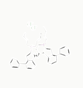 CCCCP(CCCC)C1=Cc2c(-c3ccccc3)cccc2[CH]1[Hf+2][CH]1C(P(CCCC)CCCC)=Cc2c(-c3ccccc3)cccc21.[Cl-].[Cl-]